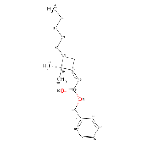 CCCCCC1CC(=CC(=O)OCc2ccccc2)C1(C)C